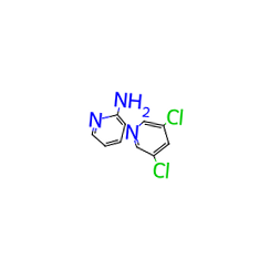 Clc1cncc(Cl)c1.Nc1ccccn1